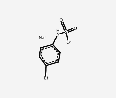 CCc1ccc(NS(=O)(=O)[O-])cc1.[Na+]